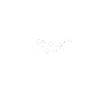 CC1=C(c2cccc(O)c2)C(c2ccc(OC[C@H](C)N3CC[C@@H](C)C3)cc2)N(C2CCC2)c2ccc(O)cc21